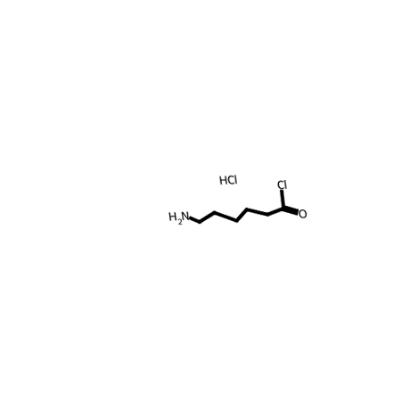 Cl.NCCCCCC(=O)Cl